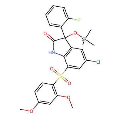 COc1ccc(S(=O)(=O)c2cc(Cl)cc3c2NC(=O)C3(O[Si](C)(C)C)c2ccccc2F)c(OC)c1